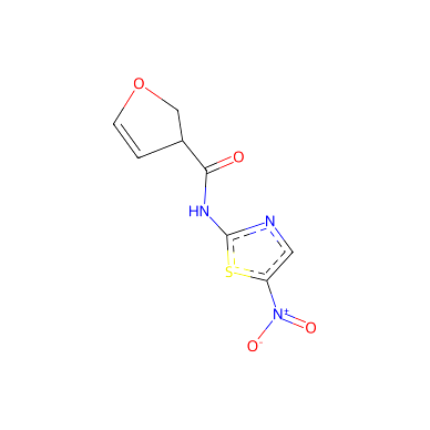 O=C(Nc1ncc([N+](=O)[O-])s1)C1C=COC1